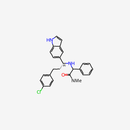 CNC(=O)C(N[C@H](CCc1ccc(Cl)cc1)c1ccc2[nH]ccc2c1)c1ccccc1